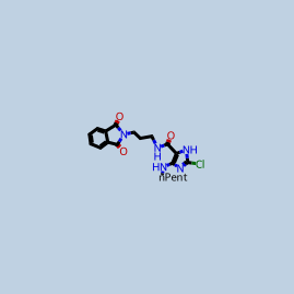 CCCCCNc1nc(Cl)[nH]c1C(=O)NCCCN1C(=O)c2ccccc2C1=O